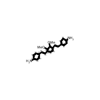 COc1c(C=Cc2ccc(N)cc2)ccc(C=Cc2ccc(N)cc2)c1OC